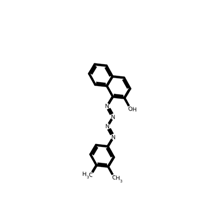 Cc1ccc(N=NN=Nc2c(O)ccc3ccccc23)cc1C